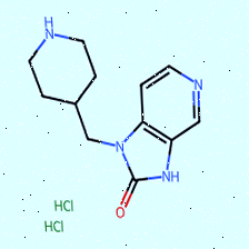 Cl.Cl.O=c1[nH]c2cnccc2n1CC1CCNCC1